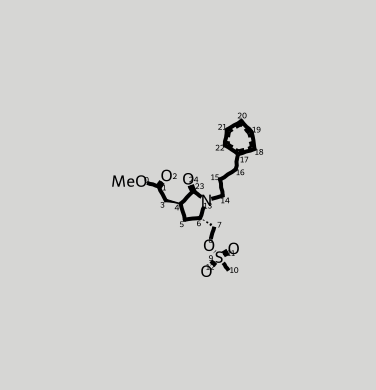 COC(=O)C[C@@H]1C[C@@H](COS(C)(=O)=O)N(CCCc2ccccc2)C1=O